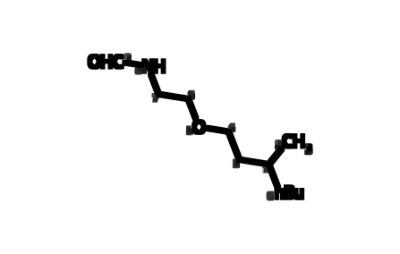 CCCCC(C)CCOCCNC=O